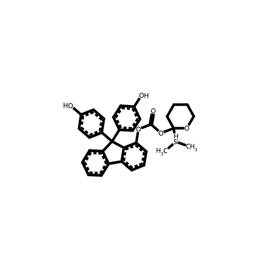 C[SiH](C)C1(OC(=O)Oc2cccc3c2C(c2ccc(O)cc2)(c2ccc(O)cc2)c2ccccc2-3)CCCCO1